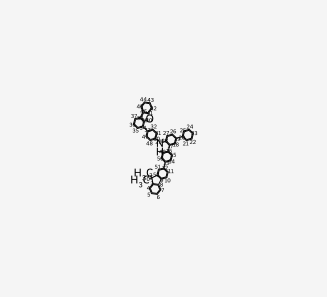 CC1(C)c2ccccc2-c2ccc(-c3ccc(-c4cc(-c5ccccc5)ccc4Nc4ccc(-c5cccc6c5oc5ccccc56)cc4)cc3)cc21